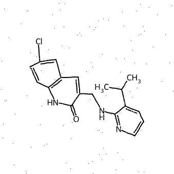 CC(C)c1cccnc1NCc1cc2cc(Cl)ccc2[nH]c1=O